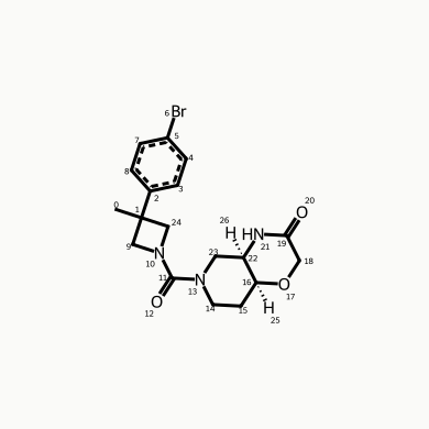 CC1(c2ccc(Br)cc2)CN(C(=O)N2CC[C@@H]3OCC(=O)N[C@@H]3C2)C1